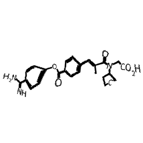 C/C(=C\c1ccc(C(=O)Oc2ccc(C(=N)N)cc2)cc1)C(=O)N(CC(=O)O)C1CCCC1